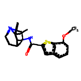 CC1(C)C(NC(=O)c2cc3cccc(OC(F)(F)F)c3s2)C2CCN1CC2